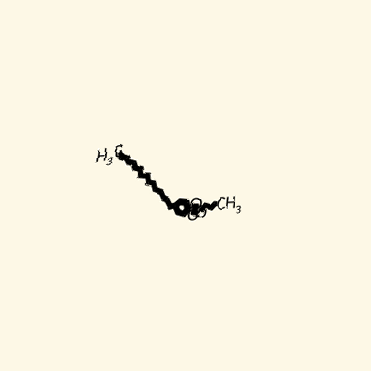 CCCCCCCCCCCCCCCCc1ccc(S(=O)(=O)OCCCC)cc1